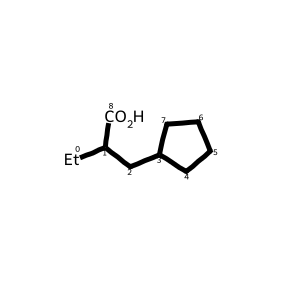 CCC(CC1CCCC1)C(=O)O